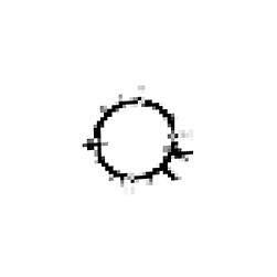 CC1CNCCNCCCNCCNC1=O